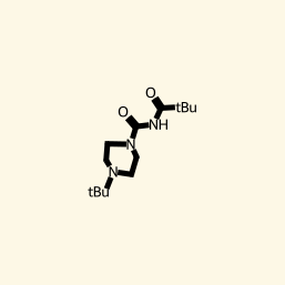 CC(C)(C)C(=O)NC(=O)N1CCN(C(C)(C)C)CC1